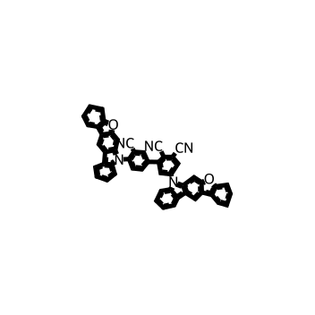 N#Cc1cc(-c2cc(-n3c4ccccc4c4cc5c(cc43)oc3ccccc35)cc(C#N)c2C#N)ccc1-n1c2ccccc2c2cc3c(cc21)oc1ccccc13